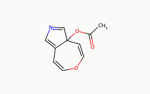 CC(=O)OC12C=COC=CC1=CN=C2